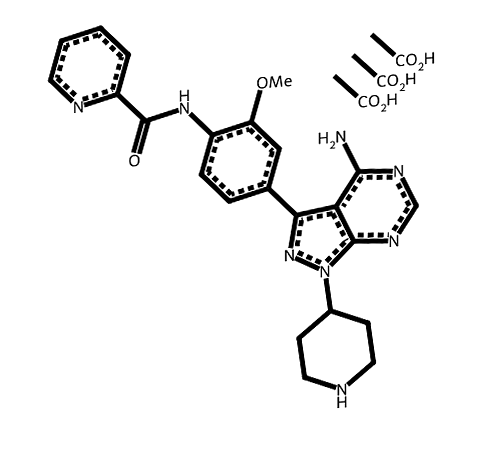 CC(=O)O.CC(=O)O.CC(=O)O.COc1cc(-c2nn(C3CCNCC3)c3ncnc(N)c23)ccc1NC(=O)c1ccccn1